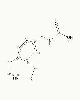 O=C(O)NCc1ccc2c(c1)CCNCC2